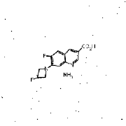 N.O=C(O)c1cnc2cc(N3CC(F)C3)c(F)cc2c1